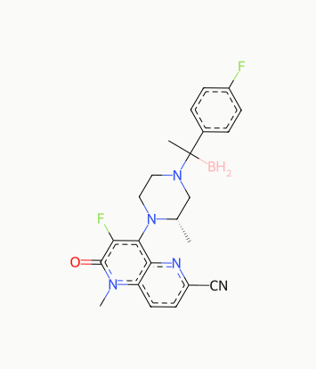 BC(C)(c1ccc(F)cc1)N1CCN(c2c(F)c(=O)n(C)c3ccc(C#N)nc23)[C@@H](C)C1